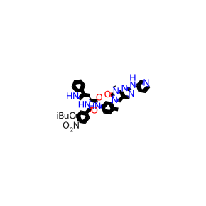 Cc1ccc(NC(=O)[C@H](Cc2c[nH]c3ccccc23)NC(=O)c2ccc([N+](=O)[O-])c(OCC(C)C)c2)cc1N1Cc2cnc(Nc3cccnc3)nc2N(C)C1=O